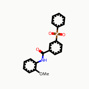 COc1ccccc1NC(=O)c1cccc(S(=O)(=O)c2ccccc2)c1